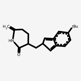 C=C1CCC(CC2C=c3ccc(C(C)(C)C)cc3=C2)C(=O)N1